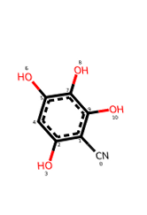 N#Cc1c(O)cc(O)c(O)c1O